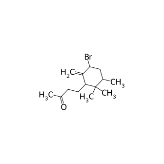 C=C1C(Br)CC(C)C(C)(C)C1CCC(C)=O